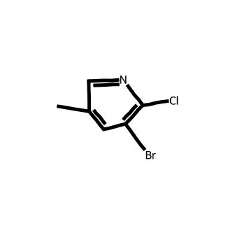 Cc1cnc(Cl)c(Br)c1